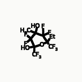 CCC1(C(F)(F)F)OC(O)(C(F)(F)F)C(F)(F)C(C)(O)C1(F)F